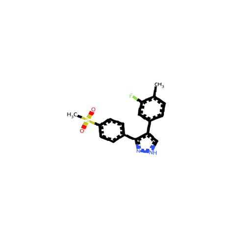 Cc1ccc(-c2c[nH]nc2-c2ccc(S(C)(=O)=O)cc2)cc1F